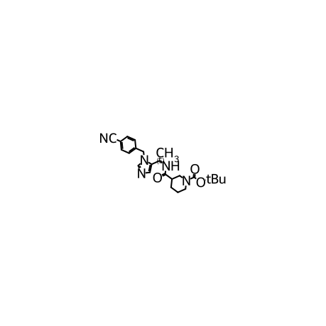 C[C@H](NC(=O)C1CCCN(C(=O)OC(C)(C)C)C1)c1cncn1Cc1ccc(C#N)cc1